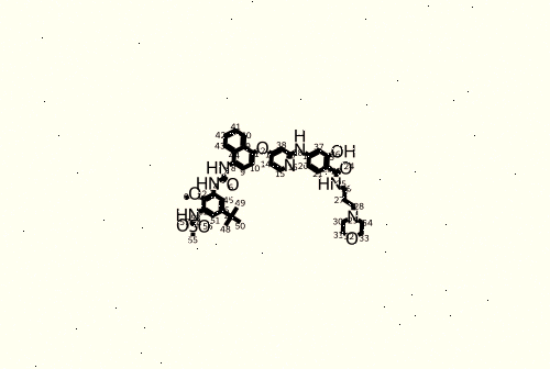 COc1c(NC(=O)Nc2ccc(Oc3ccnc(Nc4ccc(C(=O)NCCCN5CCOCC5)c(O)c4)c3)c3ccccc23)cc(C(C)(C)C)cc1NS(C)(=O)=O